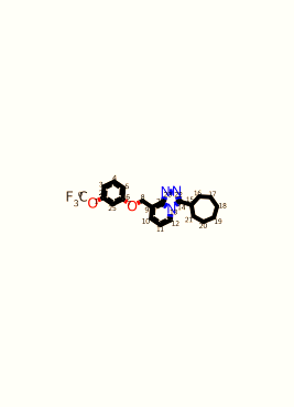 FC(F)(F)Oc1cccc(OCc2cccn3c(C4CCCCCC4)nnc23)c1